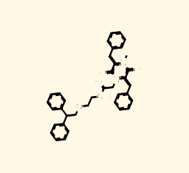 Cn1c(=O)/c(=C/c2ccccc2)n(CC(=O)NCCNCC(c2ccccc2)c2ccccc2)c(=O)/c1=C/c1ccccc1